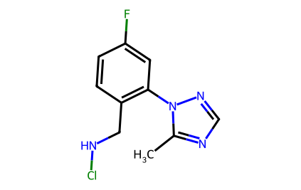 Cc1ncnn1-c1cc(F)ccc1CNCl